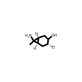 CC1(N)[C@@H]2C[C@@H](Cl)C(O)C[C@@H]21